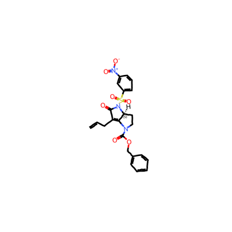 C=CCC1=C2[C@H](CCN2C(=O)OCc2ccccc2)N(S(=O)(=O)c2cccc([N+](=O)[O-])c2)C1=O